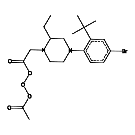 CCC1CN(c2ccc(Br)cc2C(C)(C)C)CCN1CC(=O)OOOC(C)=O